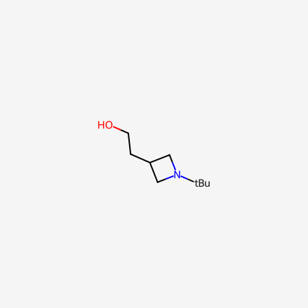 CC(C)(C)N1CC(CCO)C1